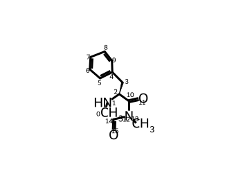 CN[C@@H](Cc1ccccc1)C(=O)N(C)C=O